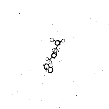 O=C(O[C@H]1CCCN2CCCC[C@H]12)c1ccc2nc(-c3cc(Cl)cc(Cl)c3)oc2c1